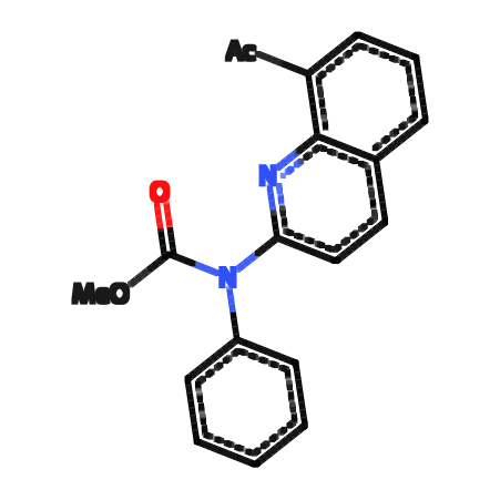 COC(=O)N(c1ccccc1)c1ccc2cccc(C(C)=O)c2n1